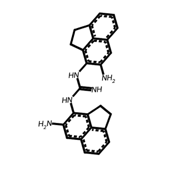 N=C(Nc1c(N)cc2cccc3c2c1CC3)Nc1c(N)cc2cccc3c2c1CC3